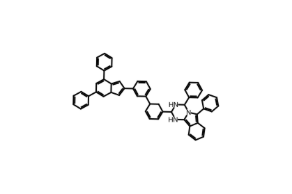 C1=CC(c2cccc(C3=CC4C=C(c5ccccc5)C=C(c5ccccc5)C4=C3)c2)CC(C2Nc3c4ccccc4c(-c4ccccc4)n3C(c3ccccc3)N2)=C1